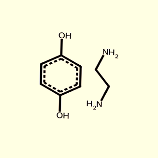 NCCN.Oc1ccc(O)cc1